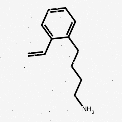 C=Cc1ccccc1CCCCN